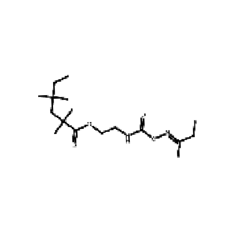 CCC(C)=NOC(=O)NCCOC(=O)C(C)(C)CC(C)(C)CC